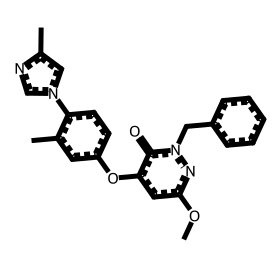 COc1cc(Oc2ccc(-n3cnc(C)c3)c(C)c2)c(=O)n(Cc2ccccc2)n1